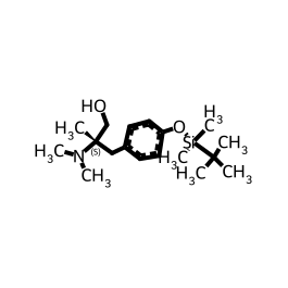 CN(C)[C@](C)(CO)Cc1ccc(O[Si](C)(C)C(C)(C)C)cc1